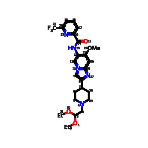 CCOC(CN1CCC(c2cn3cc(NC(=O)c4cccc(C(F)(F)F)n4)c(OC)cc3n2)CC1)OCC